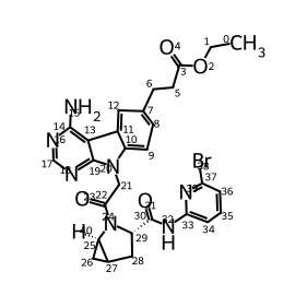 CCOC(=O)CCc1ccc2c(c1)c1c(N)ncnc1n2CC(=O)N1[C@@H]2CC2C[C@H]1C(=O)Nc1cccc(Br)n1